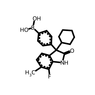 Cc1ccc2c(c1F)NC(=O)C2(c1ccc(B(O)O)cc1)C1CCCCC1